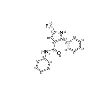 O=C(Nc1ccccc1)c1cc(C(F)(F)F)nn1-c1ccccc1